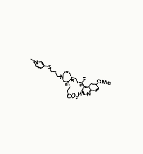 COc1ccc2nccc([C@H](F)CC[C@@H]3CCN(CCCSc4ccn(C)c4)C[C@H]3CCC(=O)O)c2c1